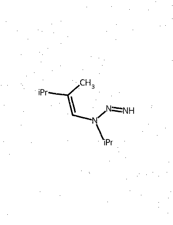 C/C(=C\N(N=N)C(C)C)C(C)C